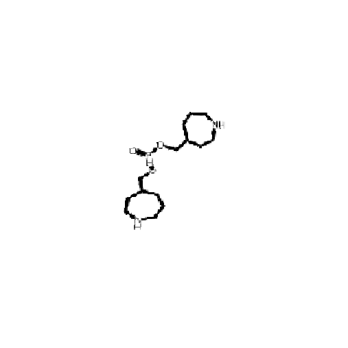 O=[PH](OCC1CCCNCC1)OCC1CCCNCC1